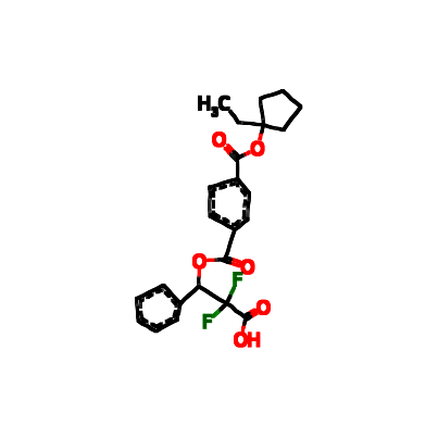 CCC1(OC(=O)c2ccc(C(=O)OC(c3ccccc3)C(F)(F)C(=O)O)cc2)CCCC1